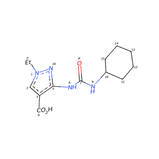 CCn1cc(C(=O)O)c(NC(=O)NC2CCCCC2)n1